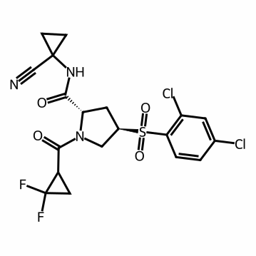 N#CC1(NC(=O)[C@@H]2C[C@@H](S(=O)(=O)c3ccc(Cl)cc3Cl)CN2C(=O)C2CC2(F)F)CC1